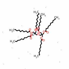 CCCCCCCCCC(=O)OCC(COCC(COC(=O)CCCCCCCCC)(COC(=O)CCCCCCCCC)COC(=O)CCCCCCCCC)(COC(=O)CCCCCCCCC)COC(=O)CCCCCCCCC